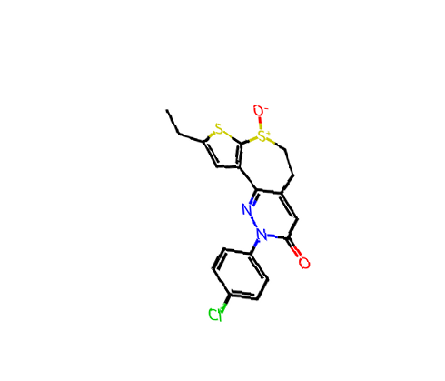 CCc1cc2c(s1)[S+]([O-])CCc1cc(=O)n(-c3ccc(Cl)cc3)nc1-2